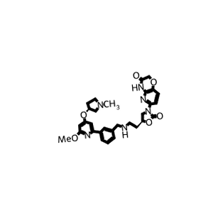 COc1cc(O[C@H]2CCN(C)C2)cc(-c2cccc(CNCC[C@H]3CN(c4ccc5c(n4)NC(=O)CO5)C(=O)O3)c2)n1